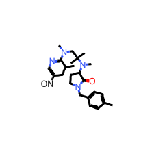 Cc1ccc(CN2CCC(N(C)C(C)(C)CN(C)C3=NC=C(N=O)CC3C)C2=O)cc1